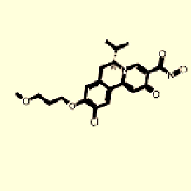 COCCCOc1cc2c(cc1Cl)-c1cc(=O)c(C(=O)N=O)cn1[C@@H](C(C)C)C2